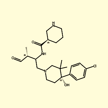 C[C@@H](C=O)C(CN1CC[C@](O)(c2ccc(Cl)cc2)C(C)(C)C1)NC(=O)[C@@H]1CCCNC1